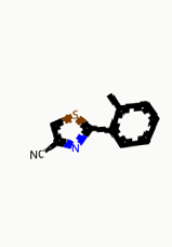 Cc1ccccc1-c1nc(C#N)cs1